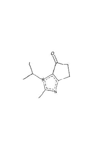 Cc1nc2c(n1C(C)C)C(=O)CC2